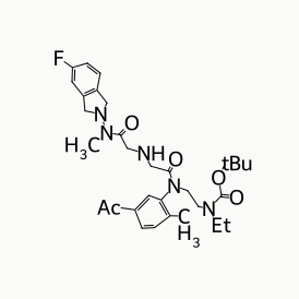 CCN(CCN(C(=O)CNCC(=O)N(C)N1Cc2ccc(F)cc2C1)c1cc(C(C)=O)ccc1C)C(=O)OC(C)(C)C